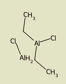 C[CH2][Al]([Cl])[CH2]C.[AlH2][Cl]